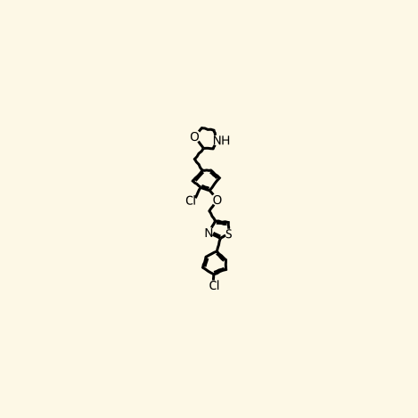 Clc1ccc(-c2nc(COc3ccc(CC4CNCCO4)cc3Cl)cs2)cc1